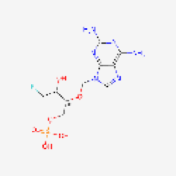 Nc1nc(N)c2ncn(CO[C@H](COP(=O)(O)O)C(O)CF)c2n1